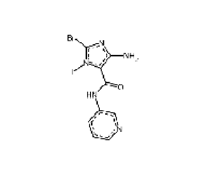 Nc1nc(Br)n(I)c1C(=O)Nc1cccnc1